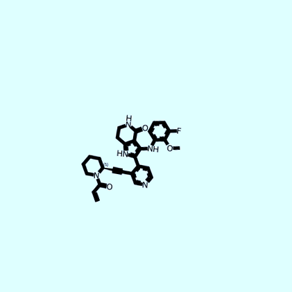 C=CC(=O)N1CCCC[C@H]1C#Cc1cnccc1-c1[nH]c2c(c1Nc1cccc(F)c1OC)C(=O)NCC2